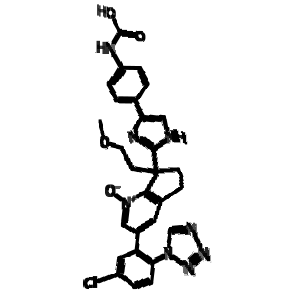 COCCC1(c2nc(-c3ccc(NC(=O)O)cc3)c[nH]2)CCc2cc(-c3cc(Cl)ccc3-n3cnnn3)c[n+]([O-])c21